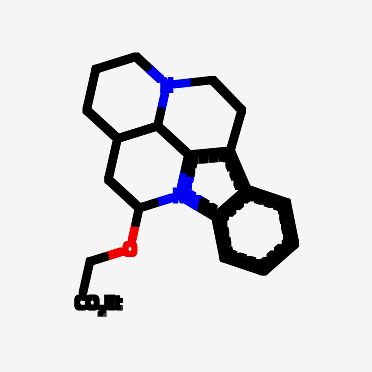 CCOC(=O)COC1CC2CCCN3CCc4c(n1c1ccccc41)C23